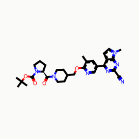 Cc1cc(-c2nc(C#N)nc3c2ccn3C)cnc1OCC1CCN(C(=O)[C@@H]2CCCN2C(=O)OC(C)(C)C)CC1